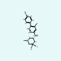 Cc1cc(N[C@H]2CN(C)CC(F)(F)C2)nnc1-c1ccc(F)cc1